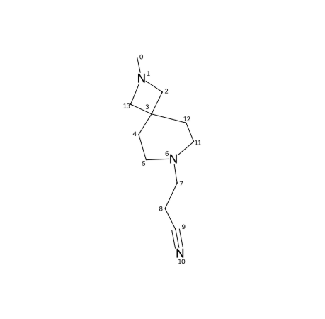 CN1CC2(CCN(CCC#N)CC2)C1